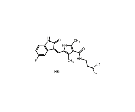 Br.CCN(CC)CCNC(=O)c1c(C)[nH]c(C=C2C(=O)Nc3ccc(F)cc32)c1C